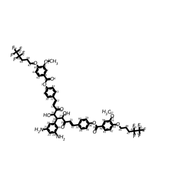 COc1cc(C(=O)Oc2ccc(/C=C/C(=O)C(O)C(c3cc(N)cc(N)c3)C(O)C(=O)/C=C/c3ccc(OC(=O)c4ccc(OCCCC(F)(F)C(F)(F)F)c(OC)c4)cc3)cc2)ccc1OCCCC(F)(F)C(F)(F)F